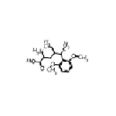 CCC(CC(N)C(=O)O)C(C)c1c(OC)cccc1OC